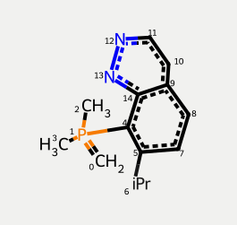 C=P(C)(C)c1c(C(C)C)ccc2ccnnc12